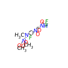 CCN(CCN(CC(=O)OC)OC)c1ccc(N2C[C@H](CNC(=O)C(F)F)OC2=O)cc1F